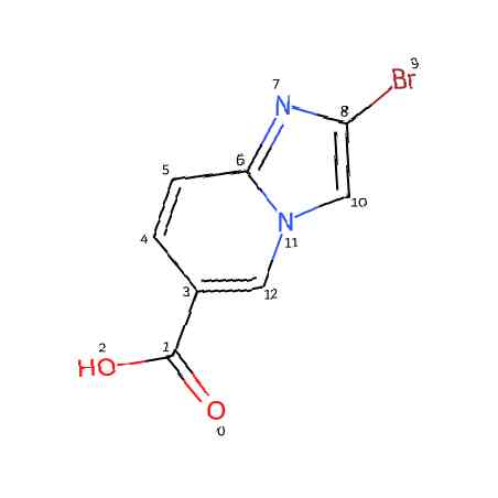 O=C(O)c1ccc2nc(Br)cn2c1